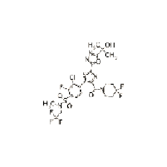 CN(CC(F)(F)F)S(=O)(=O)c1ccc(-c2sc(-c3nnc(C(C)(C)O)o3)nc2C(=O)N2CCC(F)(F)CC2)c(Cl)c1F